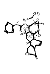 CC(C)[C@]12O[C@H]1[C@@H]1O[C@]13[C@]1(O[C@H]1C[C@H]1C4=C(CC[C@@]13C)C(=O)OC4)[C@@H]2OC(=O)Nc1ccccc1